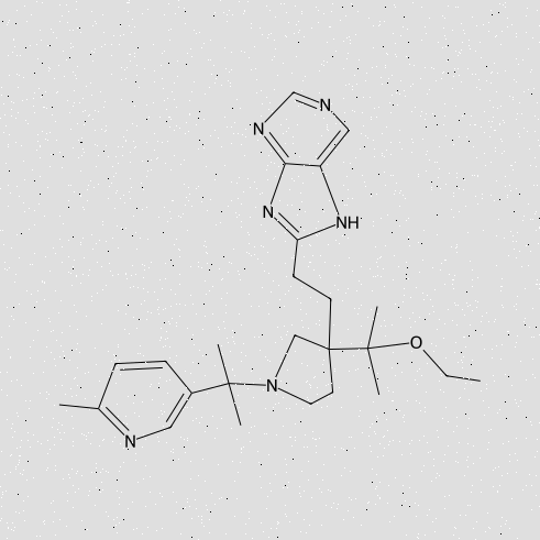 CCOC(C)(C)C1(CCc2nc3ncncc3[nH]2)CCN(C(C)(C)c2ccc(C)nc2)C1